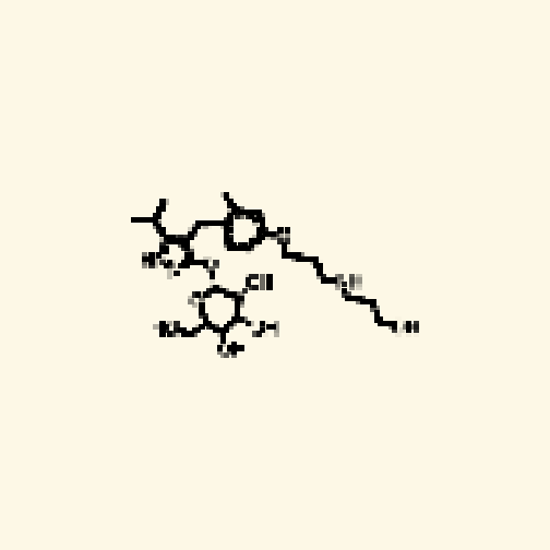 Cc1cc(OCCCNCCCO)ccc1Cc1c(O[C@@H]2O[C@H](CO)[C@@H](O)[C@H](O)[C@H]2O)n[nH]c1C(C)C